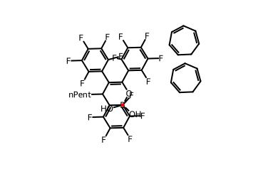 C1=CC=CCC=C1.C1=CC=CCC=C1.CCCCCC(C(=C(OB(O)O)c1c(F)c(F)c(F)c(F)c1F)c1c(F)c(F)c(F)c(F)c1F)c1c(F)c(F)c(F)c(F)c1F